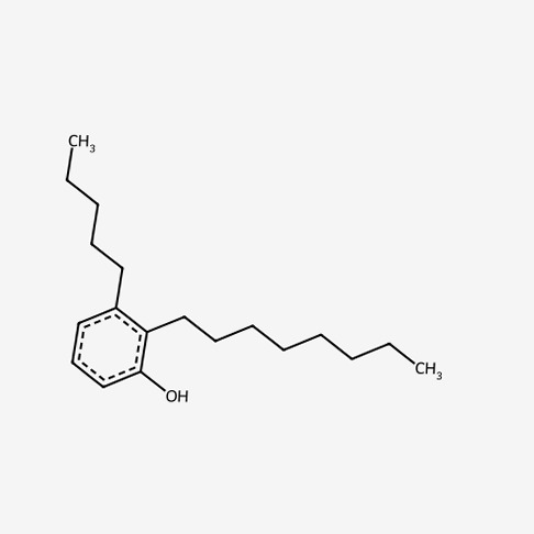 CCCCCCCCc1c(O)cccc1CCCCC